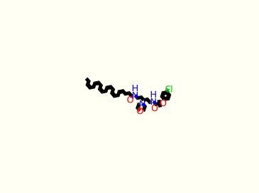 CC/C=C\C/C=C\C/C=C\C/C=C\C/C=C\C/C=C\CCC(=O)NCCC(CCNC(=O)C(C)(C)Oc1ccc(Cl)cc1)N1CCOCC1